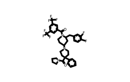 O=C(c1cc(C(F)(F)F)cc(C(F)(F)F)c1)N1CCC(N2CCC(C(=O)N3CCCC3)(c3ccccc3)CC2)CC1Cc1ccc(F)c(F)c1